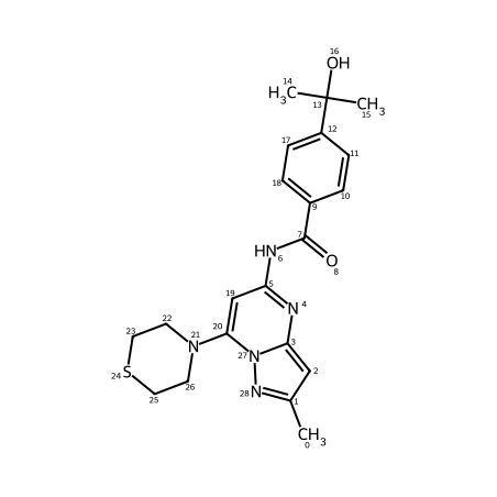 Cc1cc2nc(NC(=O)c3ccc(C(C)(C)O)cc3)cc(N3CCSCC3)n2n1